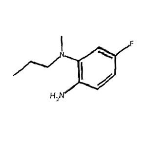 CCCN(C)c1cc(F)ccc1N